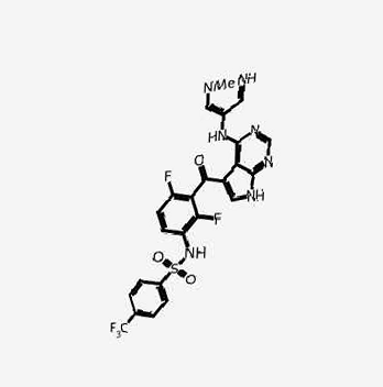 CN/C=C(\C=N)Nc1ncnc2[nH]cc(C(=O)c3c(F)ccc(NS(=O)(=O)c4ccc(C(F)(F)F)cc4)c3F)c12